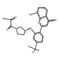 O=C(O)C(=O)N1CC[C@H](Oc2cc(C(F)(F)F)ccc2-c2cc(=O)c3cccc(Cl)c3o2)C1